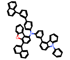 c1ccc(-n2c3ccccc3c3c(-c4cccc(N(c5ccc(-c6cccc(-c7cccc8ccccc78)c6)cc5)c5ccc(-c6cccc7ccccc67)c6oc7ccccc7c56)c4)cccc32)cc1